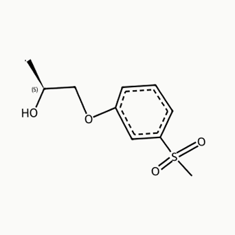 [CH2][C@H](O)COc1cccc(S(C)(=O)=O)c1